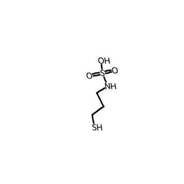 O=S(=O)(O)NCCCS